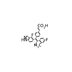 Cc1cc(F)ccc1C(=C(c1ccc(C=CC(=O)O)cc1)c1ccc2[nH]ncc2c1F)C1CC1